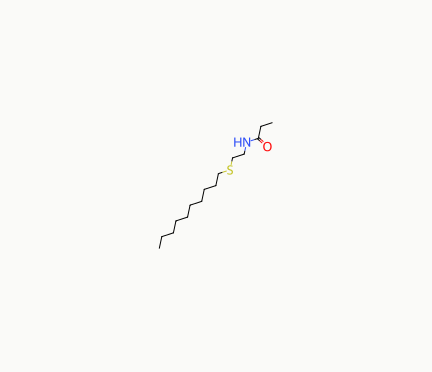 CCCCCCCCCCSCCNC(=O)CC